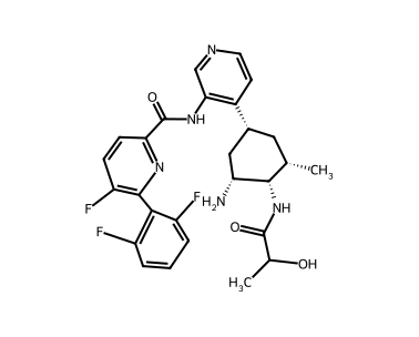 CC(O)C(=O)N[C@@H]1[C@H](N)C[C@H](c2ccncc2NC(=O)c2ccc(F)c(-c3c(F)cccc3F)n2)C[C@@H]1C